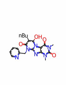 CCCCc1c(O)n2c3c(=O)n(C)c(=O)n(C)c3nc2n(Cc2ccccn2)c1=O